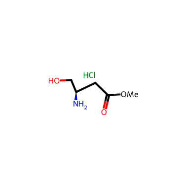 COC(=O)C[C@@H](N)CO.Cl